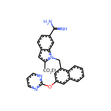 CCOC(=O)c1cc2ccc(C(=N)N)cc2n1Cc1cc(Oc2ncccn2)cc2ccccc12